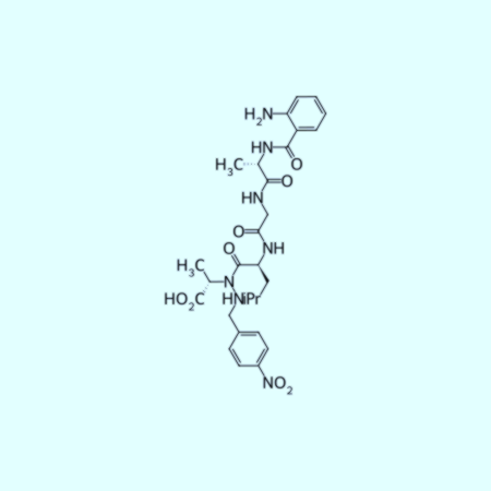 CC(C)C[C@H](NC(=O)CNC(=O)[C@H](C)NC(=O)c1ccccc1N)C(=O)N(NCc1ccc([N+](=O)[O-])cc1)[C@@H](C)C(=O)O